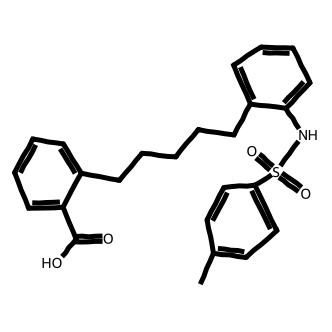 Cc1ccc(S(=O)(=O)Nc2ccccc2CCCCCc2ccccc2C(=O)O)cc1